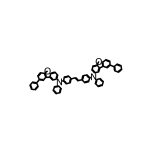 C(=C\c1ccc(N(c2ccccc2)c2ccc3oc4ccc(-c5ccccc5)cc4c3c2)cc1)/c1ccc(N(c2ccccc2)c2ccc3oc4ccc(-c5ccccc5)cc4c3c2)cc1